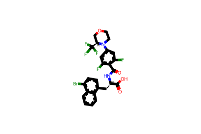 O=C(N[C@@H](Cc1ccc(Br)c2ccccc12)C(=O)O)c1c(F)cc(N2CCOC[C@@H]2C(F)(F)F)cc1F